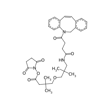 CC(C)(CNC(=O)CCC(=O)N1Cc2ccccc2/C=C\c2ccccc21)COCC(C)(C)CC(=O)ON1C(=O)CCC1=O